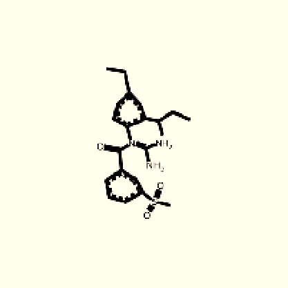 CCc1ccc([N+](C(=O)c2cccc(S(C)(=O)=O)c2)=C(N)N)c(C(C)CC)c1